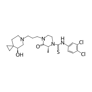 C[C@H]1C(=O)N(CCCN2CCC3(CC3)[C@H](O)C2)CCN1C(=S)Nc1ccc(Cl)c(Cl)c1